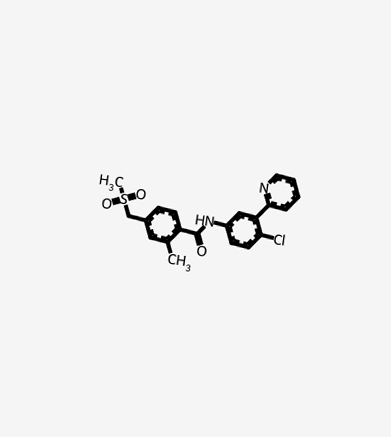 Cc1cc(CS(C)(=O)=O)ccc1C(=O)Nc1ccc(Cl)c(-c2ccccn2)c1